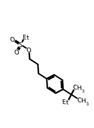 CCC(C)(C)c1ccc(CCCOS(=O)(=O)CC)cc1